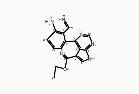 CCOC(=O)c1c[nH]c2ncnc(-c3cccc(N)c3C=N)c12